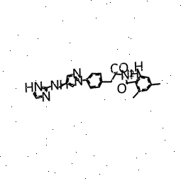 Cc1cc(C)c(C(=O)NC(Cc2ccc(-n3cc(CNc4ncc[nH]4)cn3)cc2)C(=O)O)c(C)c1